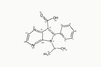 CC(C)n1c(-c2ccccc2)c(C(=O)O)c2nccnc21